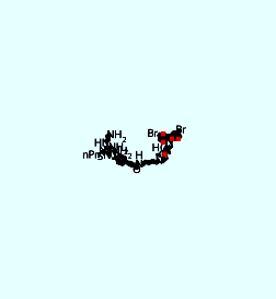 CCCSc1nc(NCCN)c(N)c(N(N)Cc2ccc(C#CC(=O)NCCCCCN3CCN(CC(O)Cn4c5ccc(Br)cc5c5cc(Br)ccc54)CC3)cc2)n1